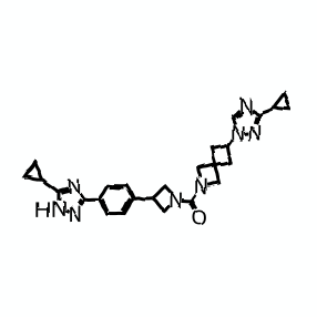 O=C(N1CC(c2ccc(-c3n[nH]c(C4CC4)n3)cc2)C1)N1CC2(CC(n3cnc(C4CC4)n3)C2)C1